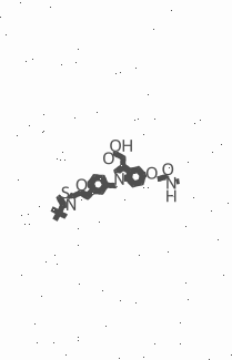 CNC(=O)COc1ccc2c(c1)c(CC(=O)O)cn2Cc1ccc2oc(-c3nc(C(C)(C)C)cs3)cc2c1